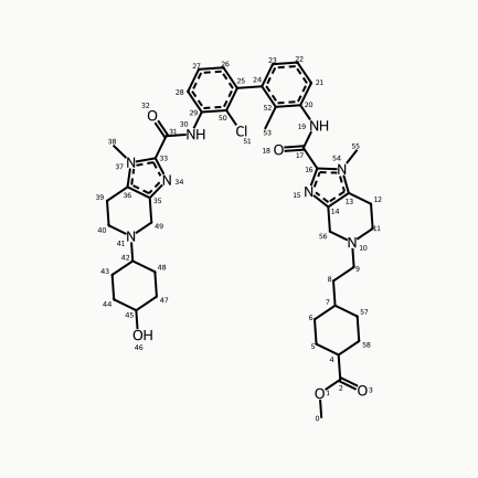 COC(=O)C1CCC(CCN2CCc3c(nc(C(=O)Nc4cccc(-c5cccc(NC(=O)c6nc7c(n6C)CCN(C6CCC(O)CC6)C7)c5Cl)c4C)n3C)C2)CC1